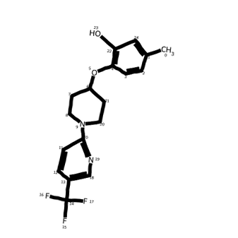 Cc1ccc(OC2CCN(c3ccc(C(F)(F)F)cn3)CC2)c(O)c1